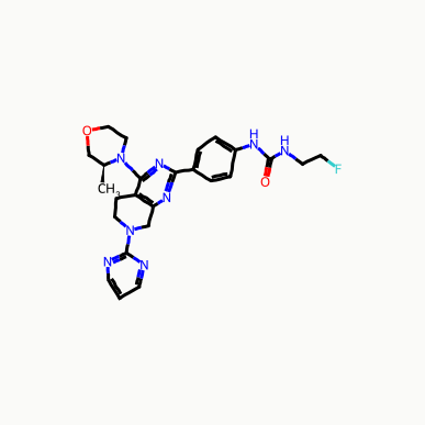 C[C@H]1COCCN1c1nc(-c2ccc(NC(=O)NCCF)cc2)nc2c1CCN(c1ncccn1)C2